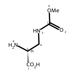 COC(=O)NC[C@@H](N)C(=O)O